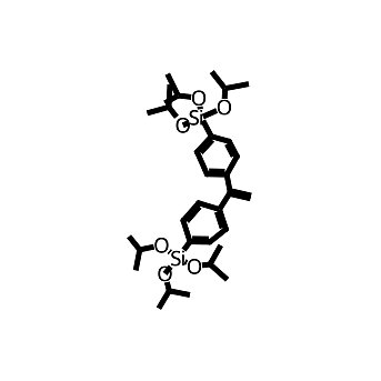 C=C(c1ccc([Si](OC(C)C)(OC(C)C)OC(C)C)cc1)c1ccc([Si](OC(C)C)(OC(C)C)OC(C)C)cc1